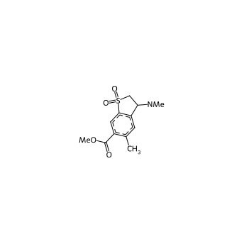 CNC1CS(=O)(=O)c2cc(C(=O)OC)c(C)cc21